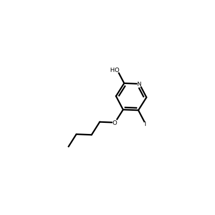 CCCCOc1cc(O)ncc1I